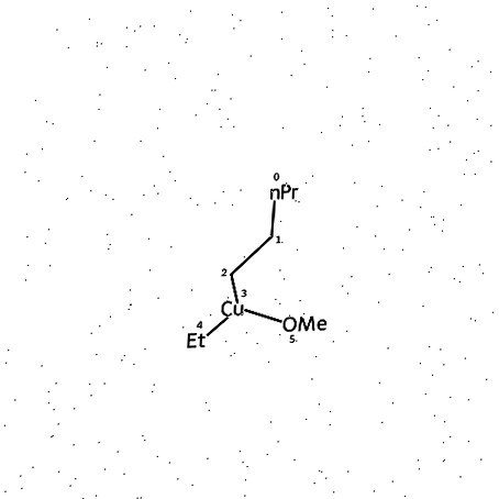 CCCC[CH2][Cu]([CH2]C)[O]C